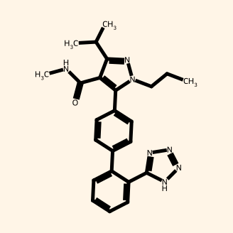 CCCn1nc(C(C)C)c(C(=O)NC)c1-c1ccc(-c2ccccc2-c2nnn[nH]2)cc1